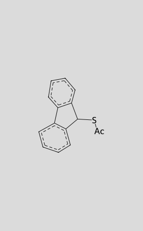 CC(=O)SC1c2ccccc2-c2ccccc21